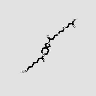 CCCCCCCCCCCCCCCC(=O)N1CCC2(CC1)CN(C(=O)CCOCCOCCC(=O)C(C)C)C2